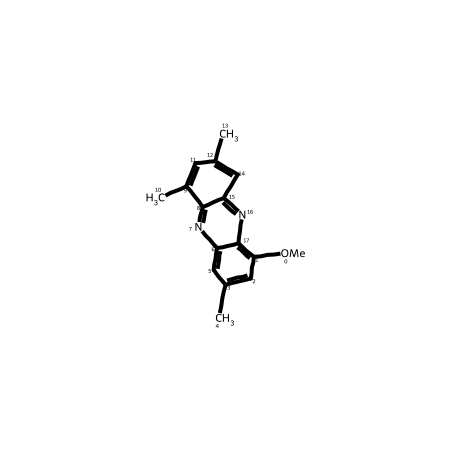 COc1cc(C)cc2nc3c(C)cc(C)cc3nc12